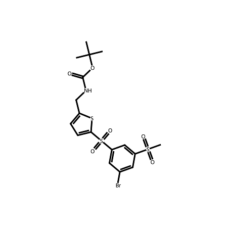 CC(C)(C)OC(=O)NCc1ccc(S(=O)(=O)c2cc(Br)cc(S(C)(=O)=O)c2)s1